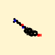 CN(C)CCCCO/N=C/C1CC[C@H]2[C@@H]3CCC4CC(O)CC[C@]4(C)[C@@H]3CC[C@]12C